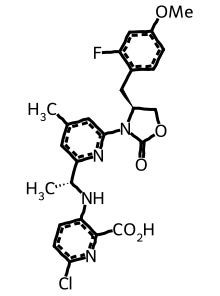 COc1ccc(C[C@H]2COC(=O)N2c2cc(C)cc([C@@H](C)Nc3ccc(Cl)nc3C(=O)O)n2)c(F)c1